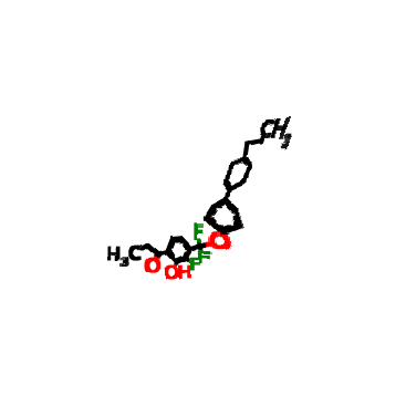 CCCC1CCC(c2ccc(OC(F)(F)c3ccc(C(=O)CC)c(O)c3F)cc2)CC1